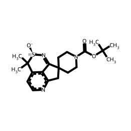 CC(C)(C)OC(=O)N1CCC2(CC1)Cc1nccc3c1C2=N[S@+]([O-])C3(C)C